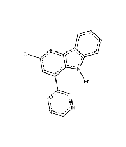 CCn1c2cnccc2c2cc(Cl)cc(-c3cncnc3)c21